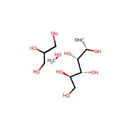 CO.O=C[C@H](O)[C@@H](O)[C@H](O)[C@H](O)CO.OCC(O)CO